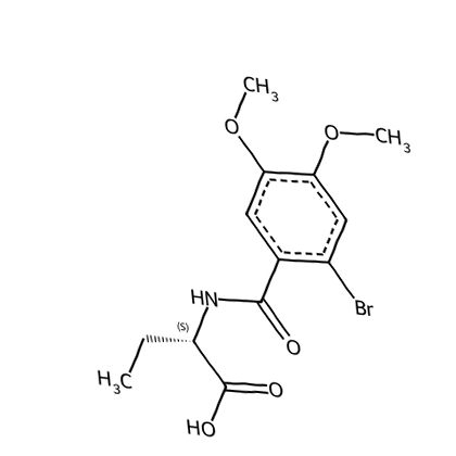 CC[C@H](NC(=O)c1cc(OC)c(OC)cc1Br)C(=O)O